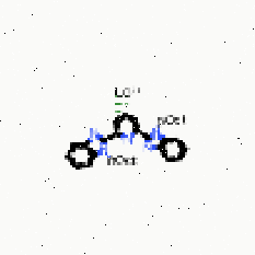 CCCCCCCCn1c(-c2cccc(-c3nc4ccccc4n3CCCCCCCC)n2)nc2ccccc21.[Cl-].[Cl-].[Co+2]